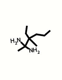 CCCC(C)(CC)C(C)(N)N